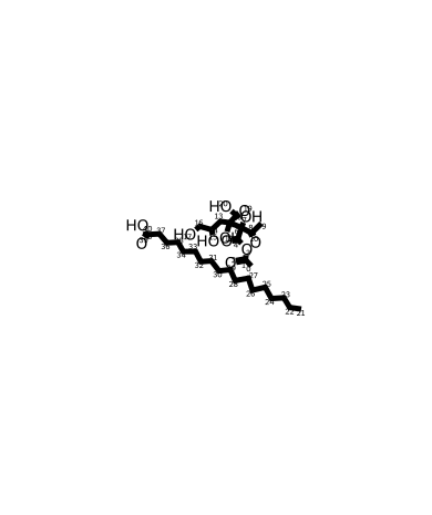 CC(=O)OC(=O)C(O)(C(C)=O)C(O)(CC(O)CO)C(=O)O.CCCCCCCCCCCCCCCCCC(=O)O